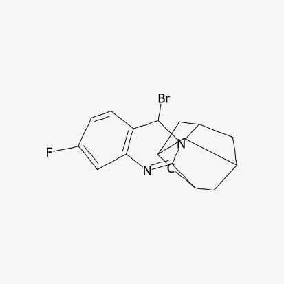 Fc1ccc2c(c1)N=C1C3CC4CC(C3)CC(C4)N1C2Br